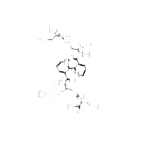 CCOC(=O)C(CSN[C@@H](CS)C(=O)S)NC(=O)c1cccnc1-c1ncccc1C(=O)NC(CSSN[C@H](C=O)CS)C(=O)OCC